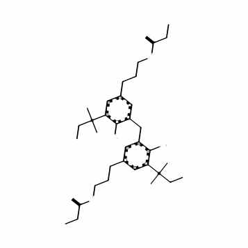 CCC(=O)OCCCc1cc(Cc2cc(CCCOC(=O)CC)cc(C(C)(C)CC)c2O)c(O)c(C(C)(C)CC)c1